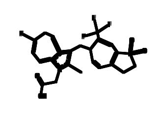 Cc1c(CC2C=CC3=C(C=C2C(F)(F)F)S(=O)(=O)CC3)c2c(n1CC(=O)O)=CC=C(F)CC=2